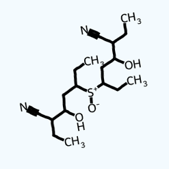 CCC(C#N)C(O)CC(CC)[S+]([O-])C(CC)CC(O)C(C#N)CC